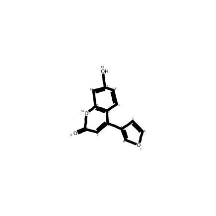 O=c1cc(-c2ccoc2)c2ccc(O)cc2o1